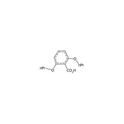 CCCOc1cccc(OCCC)c1C(=O)O